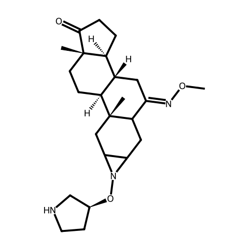 CO/N=C1\C[C@@H]2[C@H](CC[C@]3(C)C(=O)CC[C@@H]23)[C@@]2(C)CC3C(CC12)N3O[C@H]1CCNC1